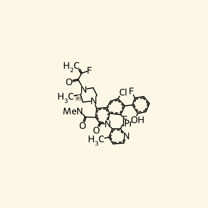 C=C(F)C(=O)N1CCN(c2c(C(=O)NC)c(=O)n(-c3c(C)ccnc3C(C)C)c3c(F)c(-c4c(O)cccc4F)c(Cl)cc23)C[C@H]1C